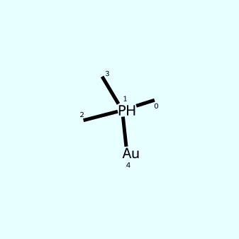 C[PH](C)(C)[Au]